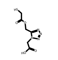 O=C(O)Cn1nnnc1COC(=O)CS